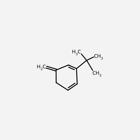 C=C1[C]=C(C(C)(C)C)C=CC1